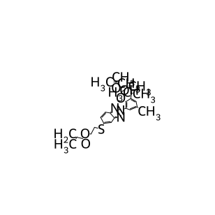 C=C(C)C(=O)OCCSc1ccc2nn(-c3cc(C)cc(C(C)(C)C)c3OC(O)OC(C)(C)C)nc2c1